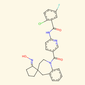 O=C(Nc1ccc(C(=O)N2CCC3(CCCC3=NO)Cc3ccccc32)cn1)c1cc(F)ccc1Cl